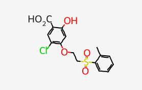 Cc1ccccc1S(=O)(=O)CCOc1cc(O)c(C(=O)O)cc1Cl